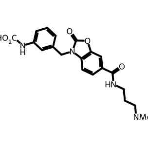 CNCCCNC(=O)c1ccc2c(c1)oc(=O)n2Cc1cccc(NC(=O)O)c1